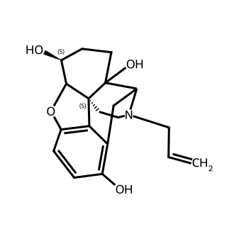 C=CCN1CC[C@@]23c4c5ccc(O)c4CC1C2(O)CC[C@H](O)C3O5